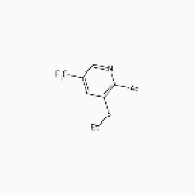 CCSc1cc(C(F)(F)F)cnc1C(C)=O